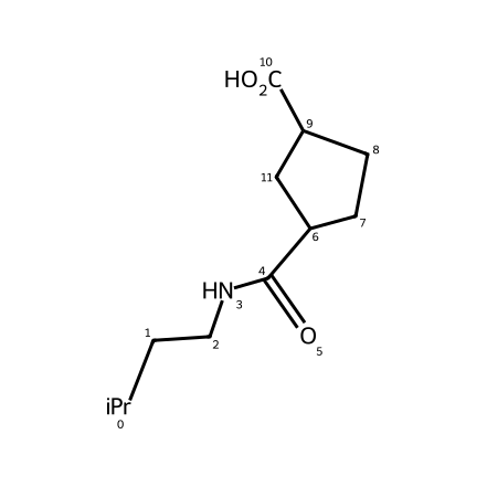 CC(C)CCNC(=O)C1CCC(C(=O)O)C1